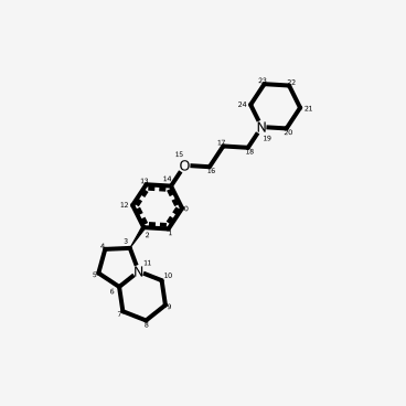 c1cc([C@@H]2CCC3CCCCN32)ccc1OCCCN1CCCCC1